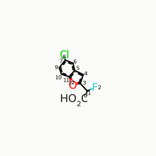 O=C(O)C(F)c1cc2cc(Cl)ccc2o1